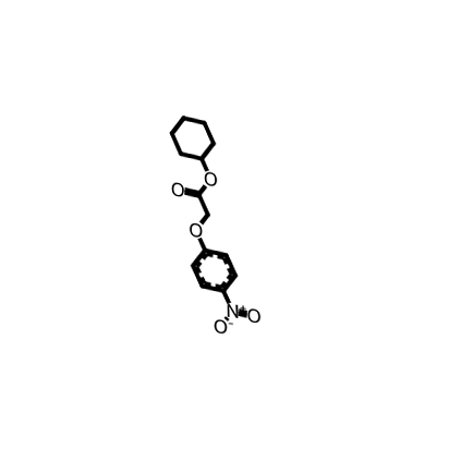 O=C(COc1ccc([N+](=O)[O-])cc1)OC1CCCCC1